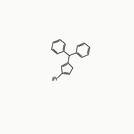 CC(C)C1=CCC(C(c2ccccc2)c2ccccc2)=C1